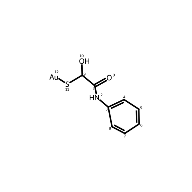 O=C(Nc1ccccc1)C(O)[S][Au]